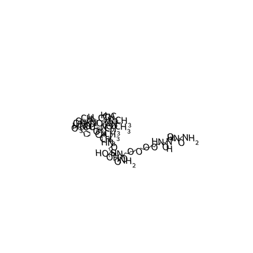 CC[C@H](C)[C@@H]([C@@H](CC(=O)N1CCC[C@H]1[C@H](OC)[C@@H](C)C(=O)N[C@@H](Cc1ccccc1)C(=O)O)OC)N(C)C(=O)[C@@H](NC(=O)[C@H](C(C)C)N(C)C(=O)CCCCCNC(=O)CC(SCC(NC(=O)CCOCCOCCOCCOCCNC(=O)CNC(=O)CNC(=O)CN)C(N)=O)C(O)O)C(C)C